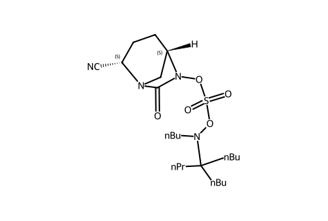 CCCCN(OS(=O)(=O)ON1C(=O)N2C[C@@H]1CC[C@H]2C#N)C(CCC)(CCCC)CCCC